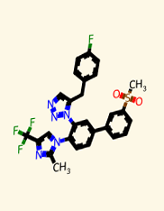 Cc1nc(C(F)(F)F)cn1-c1ccc(-c2cccc(S(C)(=O)=O)c2)cc1-n1nncc1Cc1ccc(F)cc1